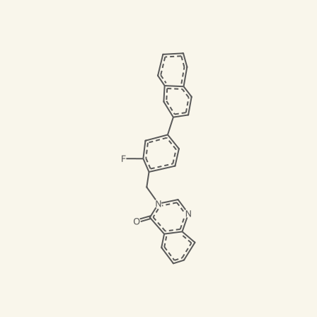 O=c1c2ccccc2ncn1Cc1ccc(-c2ccc3ccccc3c2)cc1F